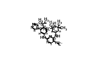 [C-]#[N+]c1cnc(Nc2ccc(C(C)C)c(-n3cnnn3)c2)nc1NC1CC(C)(C)NC(C)(C)C1